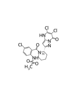 CS(=O)(=O)Nc1ccc(Cl)cc1C(=O)N1CCCC[C@H]1c1cc2[nH]c(Cl)c(Cl)c(=O)n2n1